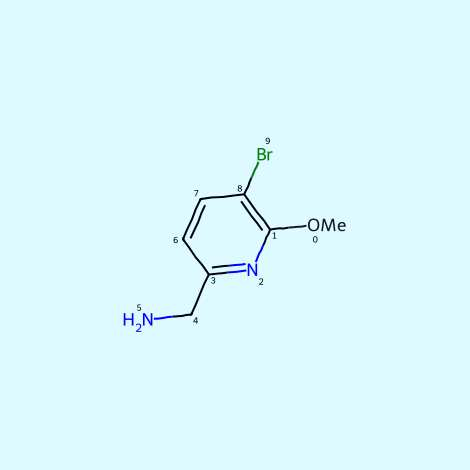 COc1nc(CN)ccc1Br